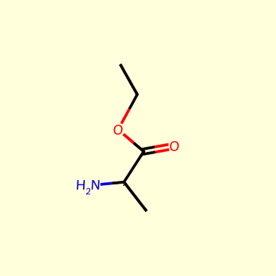 CCOC(=O)[C](C)N